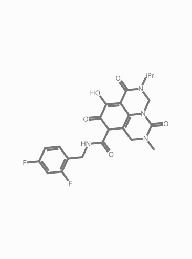 CC(C)N1CN2C(=O)N(C)CC3=C2C(=C(O)C(=O)C3C(=O)NCc2ccc(F)cc2F)C1=O